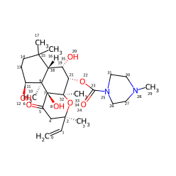 C=C[C@@]1(C)CC(=O)[C@]2(O)[C@@]3(C)[C@@H](O)CCC(C)(C)[C@@H]3[C@H](O)[C@H](OC(=O)N3CCN(C)CC3)[C@@]2(C)O1